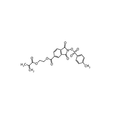 C=C(C)C(=O)OCCOC(=O)c1ccc2c(c1)C(=O)N(OS(=O)(=O)c1ccc(C)cc1)C2=O